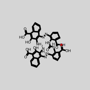 Nc1c(O)c(C(=O)O)c2ccccc2c1N=Nc1cccc(C(=O)O)c1NC(=O)Nc1c(N=Nc2c(N)c(O)c(C(=O)O)c3ccccc23)cccc1C(=O)O